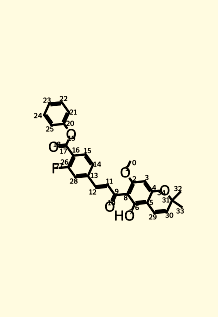 COc1cc2c(c(O)c1C(=O)C=Cc1ccc(C(=O)Oc3ccccc3)c(F)c1)C=CC(C)(C)O2